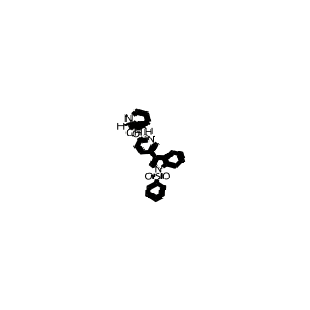 C[C@H]1[C@H](Oc2ccc(-c3cn(S(=O)(=O)c4ccccc4)c4ccccc34)cn2)C2CCN1CC2